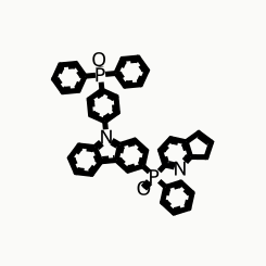 O=P(c1ccccc1)(c1ccccc1)c1ccc(-n2c3ccccc3c3cc(P(=O)(c4ccccc4)c4ccc5c(n4)CC=C5)ccc32)cc1